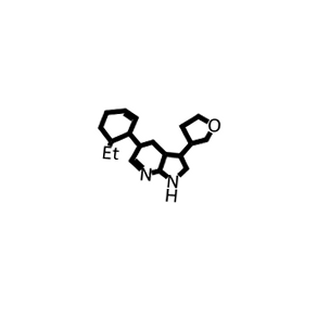 CCC1CCC=CC1C1C=NC2NCC(C3CCOC3)C2C1